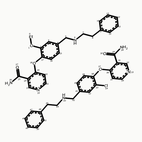 CCOc1cc(CNCCc2ccccc2)ccc1Oc1ccncc1C(N)=O.NC(=O)c1cnccc1Oc1ccc(CNCCc2ccccc2)cc1Cl